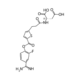 N=C(N)c1ccc(OC(=O)c2ccc(CCC(=O)N[C@@H](CC(=O)O)C(=O)O)s2)c(F)c1